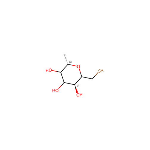 C[C@@H]1OC(CS)[C@@H](O)C(O)C1O